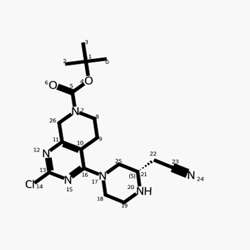 CC(C)(C)OC(=O)N1CCc2c(nc(Cl)nc2N2CCN[C@@H](CC#N)C2)C1